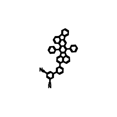 N#Cc1cc(C#N)cc(-c2cccc(-c3ccc4c5c(-c6ccccc6)c6c(cc7c8ccccc8c8cccc6c87)c(-c6ccccc6)c5c5cccc3c54)c2)c1